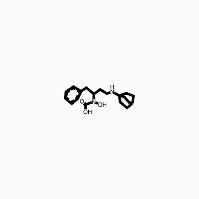 O=C(O)N(O)C(CCNC12CCC(CC1)CC2)Cc1ccccc1